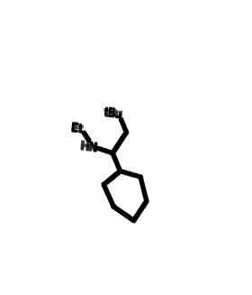 CCNC(CC(C)(C)C)C1CCCCC1